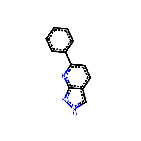 c1ccc(-c2ccc3c[nH]nc3n2)cc1